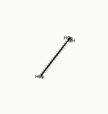 O=P(O)(O)CCCCCCCCCCCCCCCCCCCCCCCCCCCCCCCCCCCC(=S)S